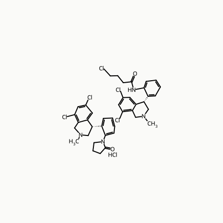 CN1Cc2c(Cl)cc(Cl)cc2[C@H](c2ccccc2N2CCCC2=O)C1.CN1Cc2c(Cl)cc(Cl)cc2[C@H](c2ccccc2NC(=O)CCCCl)C1.Cl